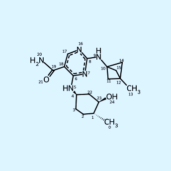 C[C@@H]1CC[C@@H](Nc2nc(NC34CC(C)(C3)C4)ncc2C(N)=O)C[C@H]1O